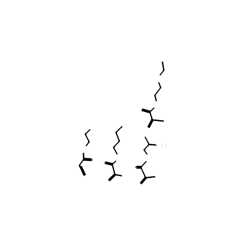 C=C(C)C(=O)OCC(C)O.C=C(C)C(=O)OCCCC.C=C(C)C(=O)OCCOCC.C=CC(=O)OCCO